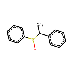 CC(c1ccccc1)[S+]([O-])c1ccccc1